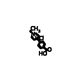 CCN1CCC(c2ccc(C(=O)O)cc2)CC1.Cl